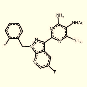 CC(=O)Nc1c(N)nc(-c2nn(Cc3ccccc3F)c3ncc(F)cc23)nc1N